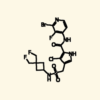 O=C(Nc1ccnc(Br)c1F)c1[nH]cc(CS(=O)(=O)NC2CC(CF)(CF)C2)c1Cl